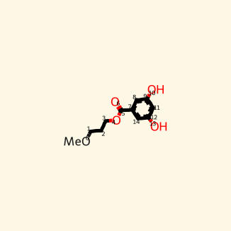 COCCCOC(=O)c1cc(O)cc(O)c1